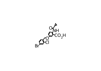 O=C(O)c1cc(OCc2ccc(Br)cc2Cl)ccc1NC(=O)C1CC1